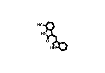 N#Cc1cccc2c1NC(=O)C2=Cc1c[nH]c2ccccc12